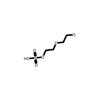 [O]CCOCCOS(=O)(=O)O